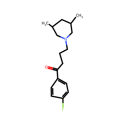 CC1CC(C)CN(CCCC(=O)c2ccc(F)cc2)C1